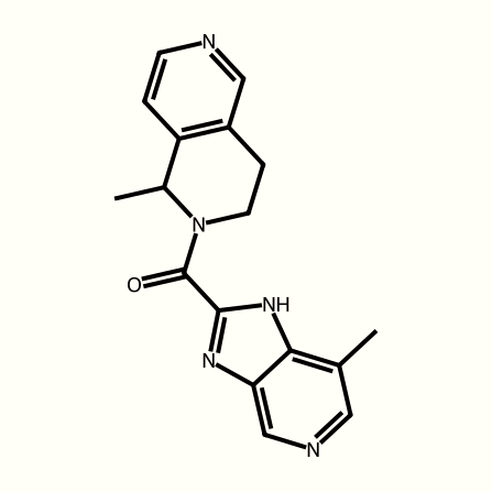 Cc1cncc2nc(C(=O)N3CCc4cnccc4C3C)[nH]c12